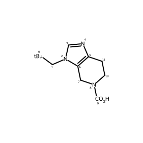 CC(C)(C)Cn1cnc2c1CN(C(=O)O)CC2